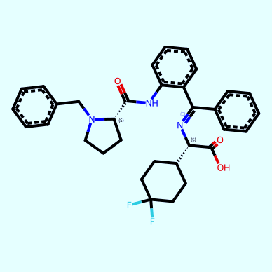 O=C(O)[C@@H](/N=C(\c1ccccc1)c1ccccc1NC(=O)[C@@H]1CCCN1Cc1ccccc1)C1CCC(F)(F)CC1